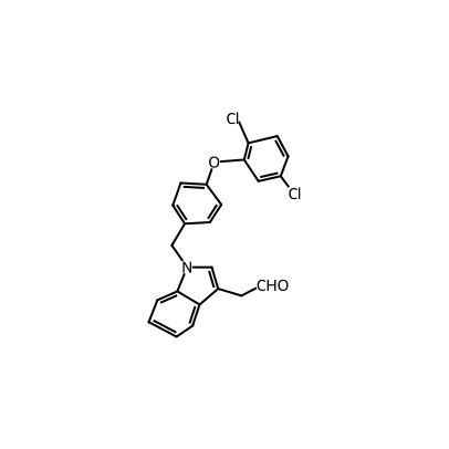 O=CCc1cn(Cc2ccc(Oc3cc(Cl)ccc3Cl)cc2)c2ccccc12